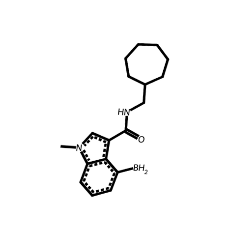 Bc1cccc2c1c(C(=O)NCC1CCCCCC1)cn2C